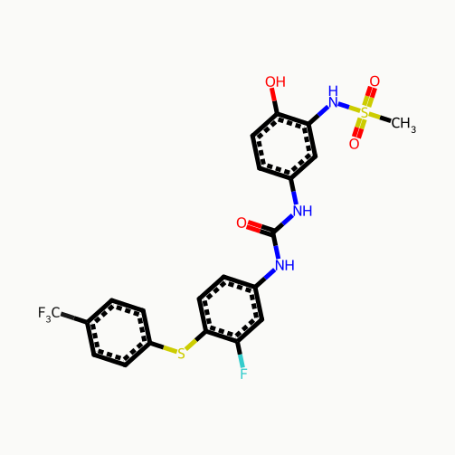 CS(=O)(=O)Nc1cc(NC(=O)Nc2ccc(Sc3ccc(C(F)(F)F)cc3)c(F)c2)ccc1O